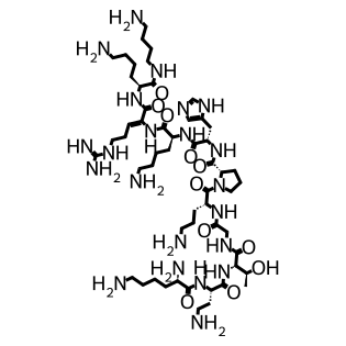 C[C@H](O)[C@H](NC(=O)[C@H](CCN)NC(=O)[C@@H](N)CCCCN)C(=O)NCC(=O)N[C@H](CCCN)C(=O)N1CCC[C@H]1C(=O)N[C@@H](Cc1cnc[nH]1)C(=O)N[C@@H](CCCCN)C(=O)N/C(=C\CCNC(=N)N)C(=O)N[C@@H](CCCCN)C(=O)NCCCCN